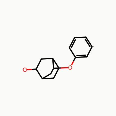 [O]C1CC2CCC1CC2Oc1c[c]ccc1